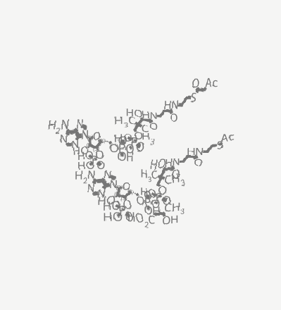 CC(=O)CC(=O)SCCNC(=O)CCNC(=O)C(O)C(C)(C)COP(=O)(O)OP(=O)(O)OC[C@H]1O[C@@H](n2cnc3c(N)ncnc32)[C@H](O)[C@@H]1OP(=O)(O)O.CC(=O)SCCNC(=O)CCNC(=O)C(O)C(C)(C)COP(=O)(O)OP(=O)(O)OC[C@H]1O[C@@H](n2cnc3c(N)ncnc32)[C@H](O)[C@@H]1OP(=O)(O)O.CC(O)CC(=O)O